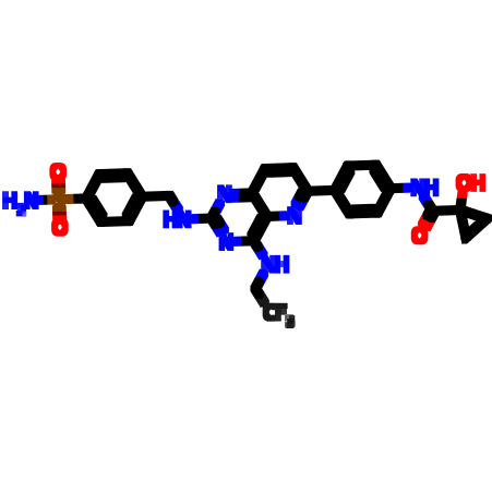 NS(=O)(=O)c1ccc(CNc2nc(NCC(F)(F)F)c3nc(-c4ccc(NC(=O)C5(O)CC5)cc4)ccc3n2)cc1